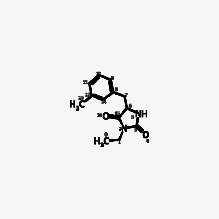 CCN1C(=O)NC(Cc2cccc(C)c2)C1=O